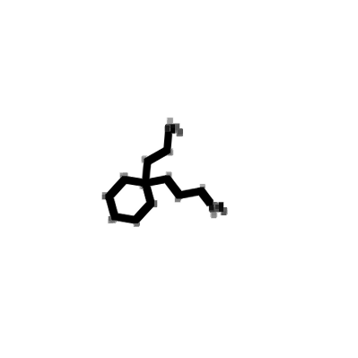 CCCCC1(CCC)CCCCC1